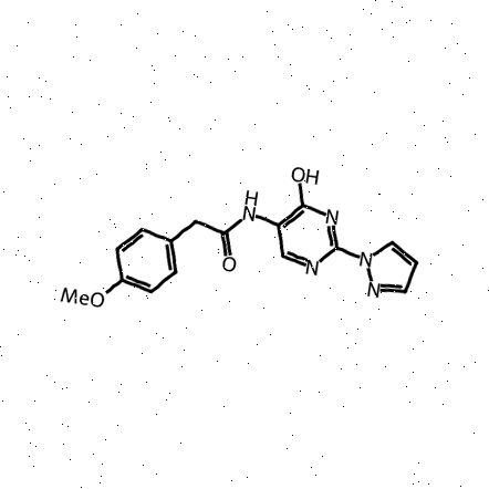 COc1ccc(CC(=O)Nc2cnc(-n3cccn3)nc2O)cc1